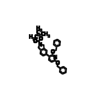 CC(C)(C)OC(=O)N1Cc2ccc(-c3ccc(OCc4ccccc4)nc3OCc3ccccc3)cc2C1